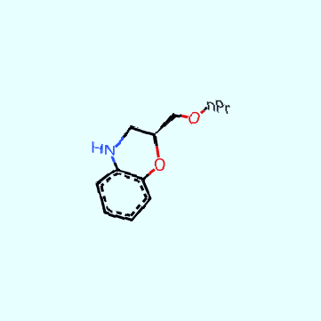 CCCOC[C@@H]1CNc2ccccc2O1